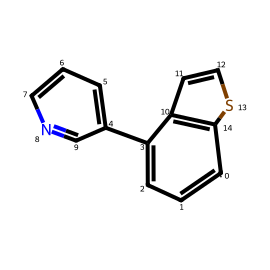 [c]1ccc(-c2cccnc2)c2ccsc12